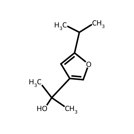 CC(C)c1cc(C(C)(C)O)co1